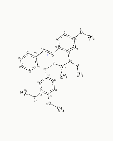 CCC(c1cc(OC)ccc1/C=C/c1ccccc1)N(C)CCc1ccc(OC)c(OC)c1